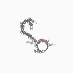 CO[C@H]1C[C@@H]2CC[C@@H](C)[C@@](O)(O2)C(=O)C(=O)N2CCCC[C@H]2C(=O)O[C@H]([C@H](N)C[C@@H]2CC[C@@H](OC(=O)NCc3cnc(N4CCN(c5ncc(C(=O)N6CCN(c7ncc(C(=O)N8CCc9cc(Cn%10nc(-c%11cnc%12[nH]ccc%12c%11)c%11c(N)ncnc%11%10)ccc9C8)cn7)CC6)cn5)CC4)nc3)[C@H](OC)C2)CC(=O)[C@H](C)/C=C(\C)[C@@H](O)[C@@H](O)C(=O)[C@H](C)C[C@H](C)/C=C/C=C/C=C/1C